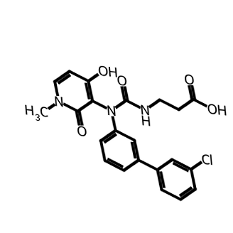 Cn1ccc(O)c(N(C(=O)NCCC(=O)O)c2cccc(-c3cccc(Cl)c3)c2)c1=O